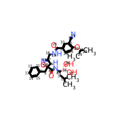 CC(C)C[C@H](NC(=O)C1(Cc2ccccc2)CC(CNC(=O)c2ccc(OC(C)C)c(C#N)c2)=NO1)B(O)O